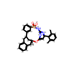 Cc1cccc(C)c1-c1cc2nc(n1)NS(=O)(=O)c1cccc(c1)C1Cc3ccccc3C[C@H](C1)O2